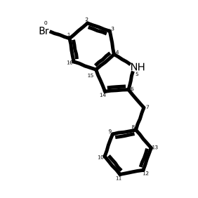 Brc1ccc2[nH]c(Cc3ccccc3)cc2c1